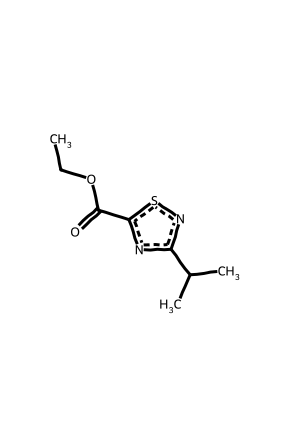 CCOC(=O)c1nc(C(C)C)ns1